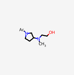 CC(=O)N1CCC(N(C)CCO)C1